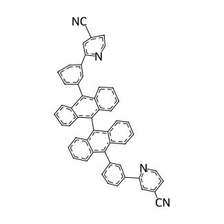 N#Cc1ccnc(-c2cccc(-c3c4ccccc4c(-c4c5ccccc5c(-c5cccc(-c6cc(C#N)ccn6)c5)c5ccccc45)c4ccccc34)c2)c1